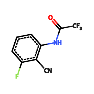 N#Cc1c(F)cccc1NC(=O)C(F)(F)F